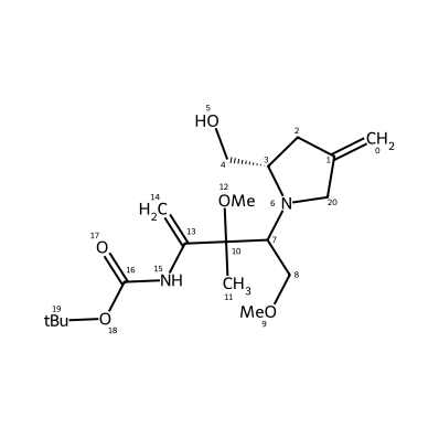 C=C1C[C@@H](CO)N(C(COC)C(C)(OC)C(=C)NC(=O)OC(C)(C)C)C1